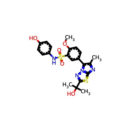 COc1ccc(-c2c(C)nc3sc(C(C)(C)O)nn23)cc1S(=O)(=O)Nc1ccc(O)cc1